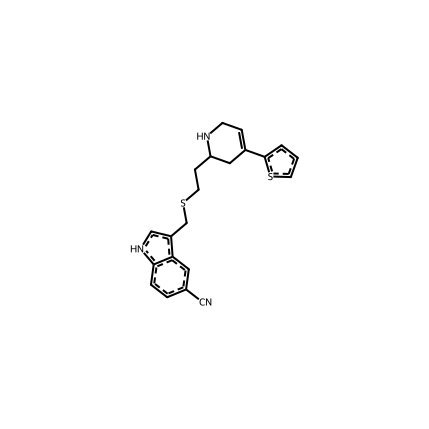 N#Cc1ccc2[nH]cc(CSCCC3CC(c4cccs4)=CCN3)c2c1